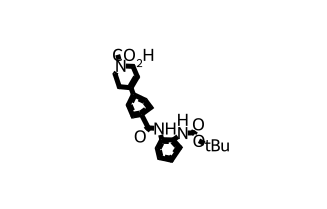 CC(C)(C)OC(=O)Nc1ccccc1NC(=O)c1ccc(C2=CCN(C(=O)O)CC2)cc1